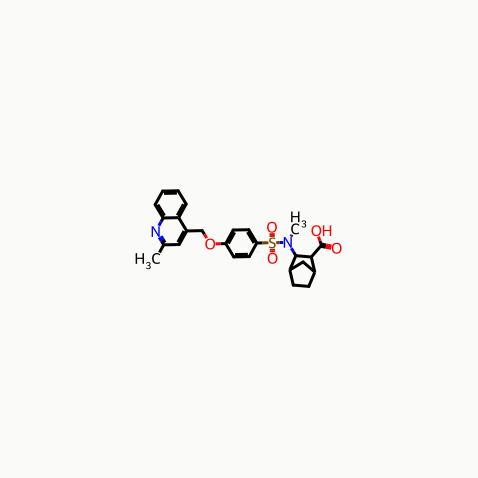 Cc1cc(COc2ccc(S(=O)(=O)N(C)C3C4CCC(C4)C3C(=O)O)cc2)c2ccccc2n1